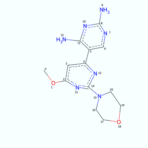 COc1cc(-c2cnc(N)nc2N)nc(N2CCOCC2)n1